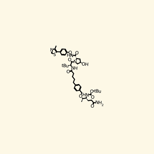 Cc1ncsc1-c1ccc(ONC(=O)[C@@H]2C[C@@H](O)CN2C(=O)[C@@H](NC(=O)CCCCc2ccc(CO[C@H](C)[C@H](CCC(N)=O)NC(=O)OC(C)(C)C)cc2)C(C)(C)C)cc1